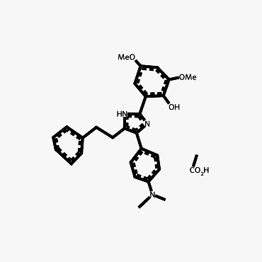 CC(=O)O.COc1cc(OC)c(O)c(-c2nc(-c3ccc(N(C)C)cc3)c(CCc3ccccc3)[nH]2)c1